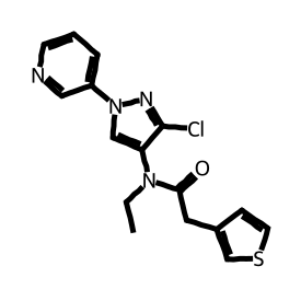 CCN(C(=O)Cc1ccsc1)c1cn(-c2cccnc2)nc1Cl